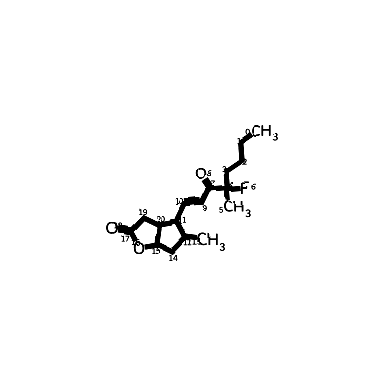 CCCCC(C)(F)C(=O)/C=C/C1C(C)CC2OC(=O)CC21